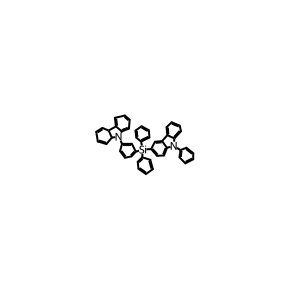 C1=CC2c3ccccc3N(c3cccc([Si](c4ccccc4)(c4ccccc4)c4ccc5c(c4)c4ccccc4n5-c4ccccc4)c3)C2C=C1